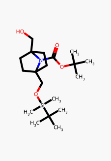 CC(C)(C)OC(=O)N1C2(CO)CCC1(CO[Si](C)(C)C(C)(C)C)CC2